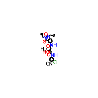 CC(O)(CC(=O)Nc1ccc(C#N)c(Cl)c1)CC(=O)Nc1ccc2c(c1)c(=O)n(CC1CC1)c(=O)n2CC1CC1